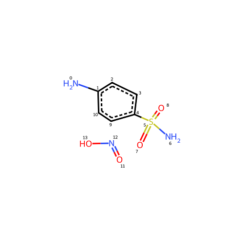 Nc1ccc(S(N)(=O)=O)cc1.O=NO